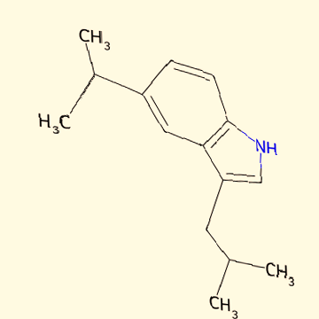 CC(C)Cc1c[nH]c2ccc(C(C)C)cc12